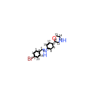 Brc1ccc(CNC2=CCC([C@H]3CNCCO3)C=C2)cc1